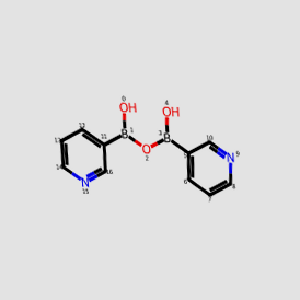 OB(OB(O)c1cccnc1)c1cccnc1